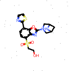 O=S(=O)(CCO)c1ccc(-c2nccs2)c2oc(N3CC4CC(C3)N4)nc12